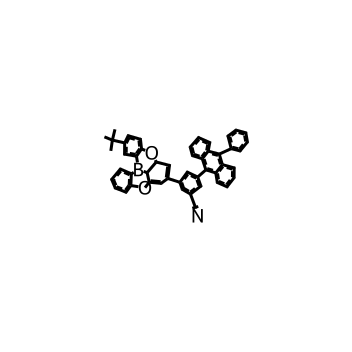 CC(C)(C)c1ccc2c(c1)B1c3ccccc3OC3=CC(c4cc(C#N)cc(-c5c6ccccc6c(-c6ccccc6)c6ccccc56)c4)=CC(O2)C13